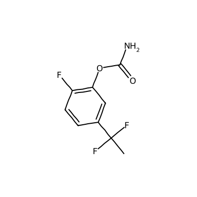 CC(F)(F)c1ccc(F)c(OC(N)=O)c1